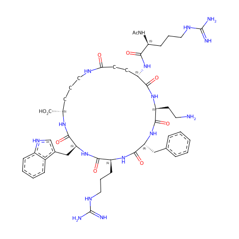 CC(=O)N[C@@H](CCCNC(=N)N)C(=O)N[C@H]1CCC(=O)NCCC[C@@H](C(=O)O)NC(=O)[C@H](Cc2c[nH]c3ccccc23)NC(=O)[C@H](CCCNC(=N)N)NC(=O)[C@@H](Cc2ccccc2)NC(=O)[C@H](CCN)NC1=O